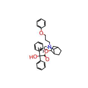 CN(CCCOc1ccccc1)C1C2CCC1C(OC(=O)C(O)(c1ccccc1)c1ccccc1)C2